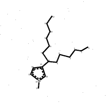 CCCCCCC(CCCCCC)c1ccn(C)c1